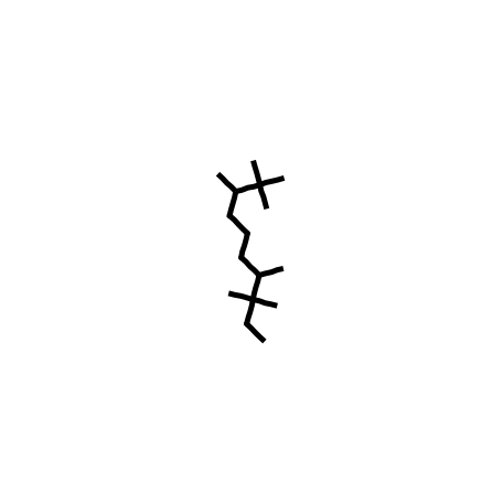 CCC(C)(C)C(C)CCCC(C)C(C)(C)C